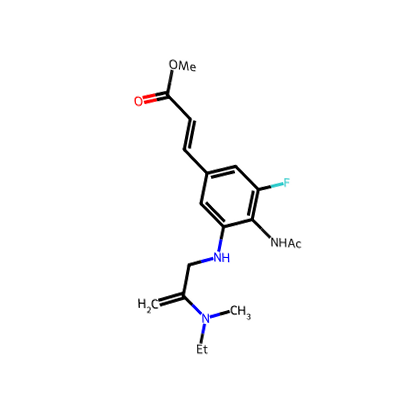 C=C(CNc1cc(/C=C/C(=O)OC)cc(F)c1NC(C)=O)N(C)CC